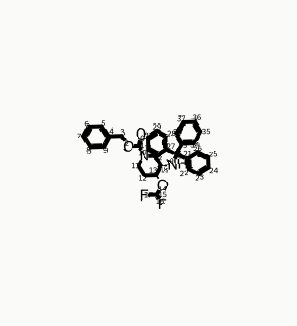 O=C(OCc1ccccc1)N1CC[C@@H](OC(F)F)[C@@H](NC(c2ccccc2)(c2ccccc2)c2ccccc2)C1